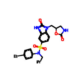 CCc1ccc(N(CC(C)C)S(=O)(=O)c2ccc3c(c2)[nH]c(=O)n3CC2CNC(=O)O2)cc1